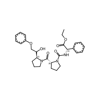 CCOC(=O)[C@@H](NC(=O)N1CCC[C@@H]1C(=O)N1CCC[C@H]1C(O)COc1ccccc1)c1ccccc1